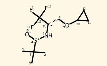 CC(C)(C)[S+]([O-])N[C@@H](COC1CC1)C(F)(F)F